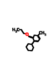 CCCO/C=C1\CC(C)=CC=C1C1CCCCC1